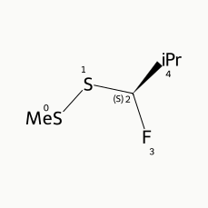 CSS[C@H](F)C(C)C